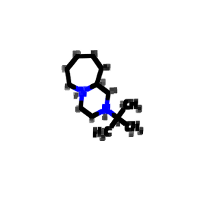 CC(C)(C)N1CCN2CCCCCC2C1